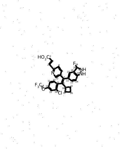 O=C(O)/C=C/c1ccc(/C(=C(\c2ccc(OC(F)(F)F)cc2Cl)C2CCC2)c2ccc3c(c2)C(F)NN3)cn1